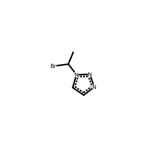 CC(Br)n1ccnn1